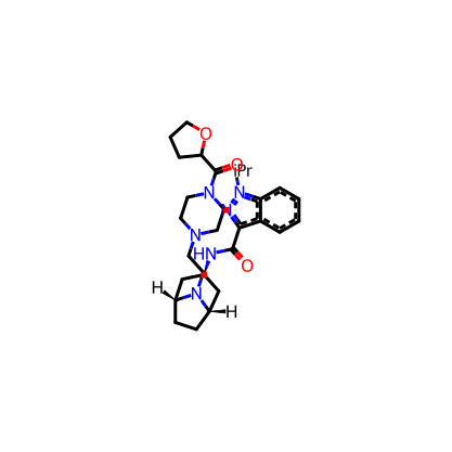 CC(C)n1nc(C(=O)N[C@@H]2C[C@H]3CC[C@@H](C2)N3CCN2CCN(C(=O)C3CCCO3)CC2)c2ccccc21